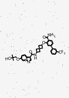 CC(C)(O)COc1ccc2c(C(=O)NC3CC4(C3)CC(Oc3cc(-c5cccc(C(F)(F)F)c5)ccc3C(N)=O)C4)cnn2c1